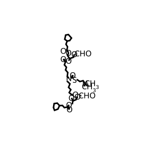 CN(C)CCCSC(=O)N(CCCCCC(=O)OC(COC=O)COC(=O)CCC1CCCCC1)CCCCCC(=O)OC(COC=O)COC(=O)CCC1CCCCC1